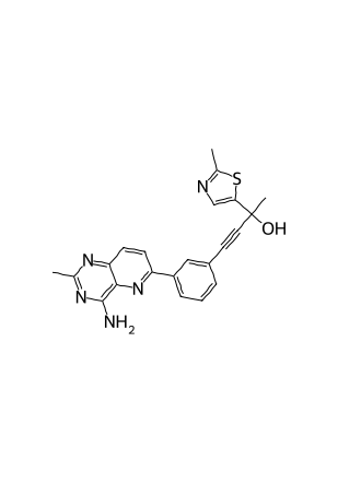 Cc1nc(N)c2nc(-c3cccc(C#CC(C)(O)c4cnc(C)s4)c3)ccc2n1